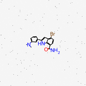 CN(C)c1cccc(-c2cc3c(Br)ccc(C(N)=O)c3[nH]2)c1